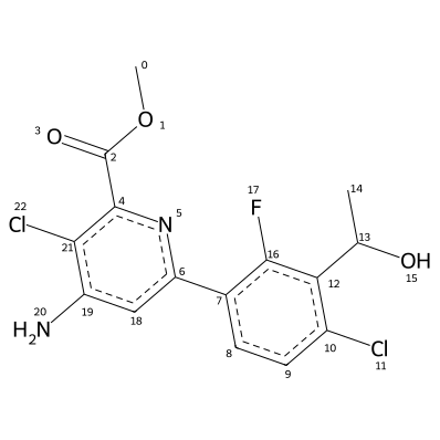 COC(=O)c1nc(-c2ccc(Cl)c(C(C)O)c2F)cc(N)c1Cl